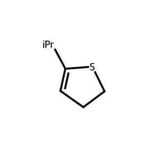 CC(C)C1=CCCS1